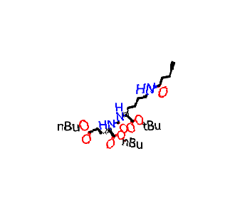 C#CCCC(=O)NCCCC[C@H](NC(=O)N[C@@H](CCC(=O)OCCCC)C(=O)OCCCC)C(=O)OC(C)(C)C